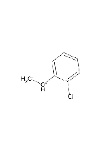 [CH2-][OH+]c1ccccc1Cl